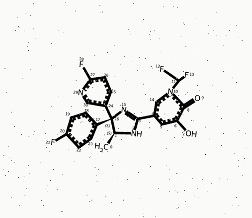 C[C@@H]1NC(c2cc(O)c(=O)n(C(F)F)c2)=N[C@@]1(c1ccc(F)cc1)c1ccc(F)nc1